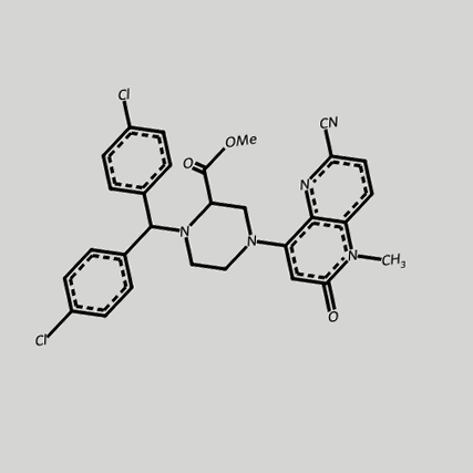 COC(=O)C1CN(c2cc(=O)n(C)c3ccc(C#N)nc23)CCN1C(c1ccc(Cl)cc1)c1ccc(Cl)cc1